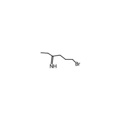 CCC(=N)CCCBr